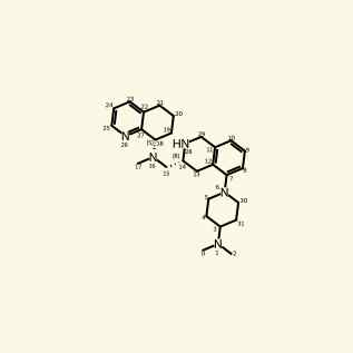 CN(C)C1CCN(c2cccc3c2C[C@H](CN(C)[C@H]2CCCc4cccnc42)NC3)CC1